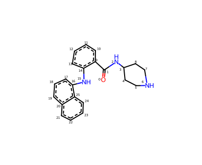 O=C(NC1CCNCC1)c1ccccc1Nc1cccc2ccccc12